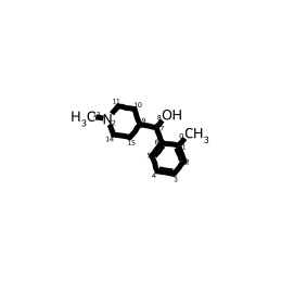 Cc1ccccc1C(O)C1CCN(C)CC1